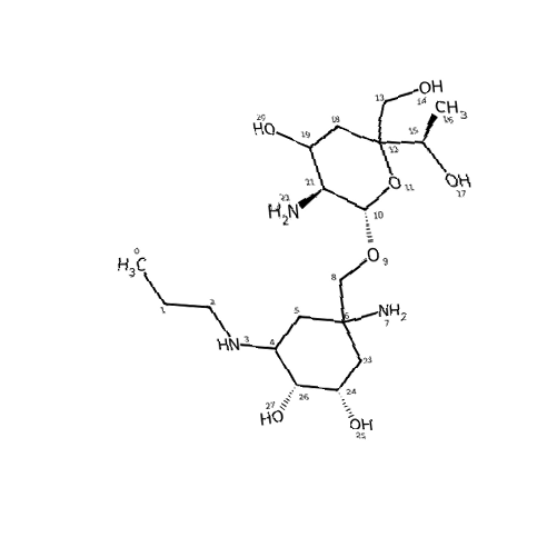 CCCNC1CC(N)(CO[C@H]2OC(CO)([C@@H](C)O)CC(O)[C@@H]2N)C[C@H](O)[C@@H]1O